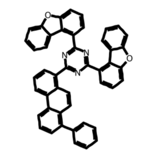 c1ccc(-c2cccc3c2ccc2c(-c4nc(-c5cccc6oc7ccccc7c56)nc(-c5cccc6oc7ccccc7c56)n4)cccc23)cc1